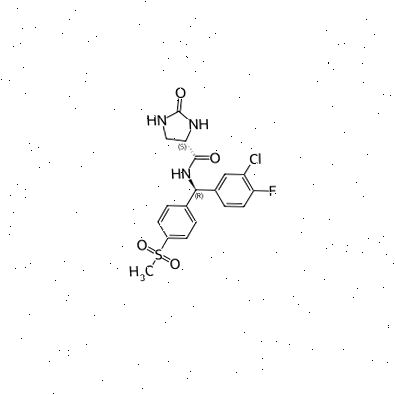 CS(=O)(=O)c1ccc([C@@H](NC(=O)[C@@H]2CNC(=O)N2)c2ccc(F)c(Cl)c2)cc1